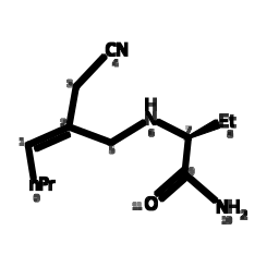 CCCC=C(CC#N)CN[C@@H](CC)C(N)=O